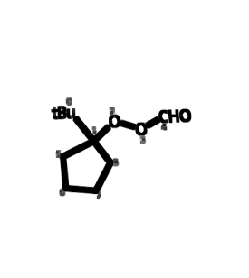 CC(C)(C)C1(OOC=O)CCCC1